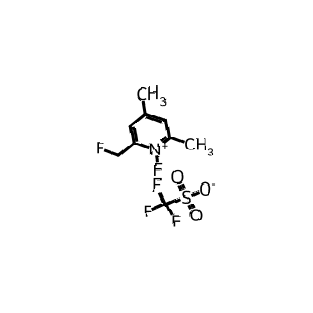 Cc1cc(C)[n+](F)c(CF)c1.O=S(=O)([O-])C(F)(F)F